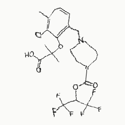 Cc1ccc(CN2CCN(C(=O)OC(C(F)(F)F)C(F)(F)F)CC2)c(OC(C)(C)C(=O)O)c1Cl